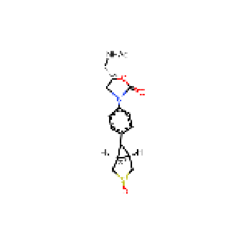 CC(=O)NC[C@H]1CN(c2ccc(C3[C@H]4C[S+]([O-])C[C@@H]34)cc2)C(=O)O1